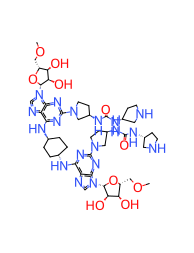 COC[C@H]1O[C@@H](n2cnc3c(N[C@H]4CC[C@H](Nc5nc(N6CC[C@@H](NC(=O)N[C@@H]7CCNC7)C6)nc6c5ncn6[C@@H]5O[C@H](COC)[C@@H](O)[C@H]5O)CC4)nc(N4CC[C@@H](NC(=O)N[C@@H]5CCNC5)C4)nc32)[C@H](O)[C@@H]1O